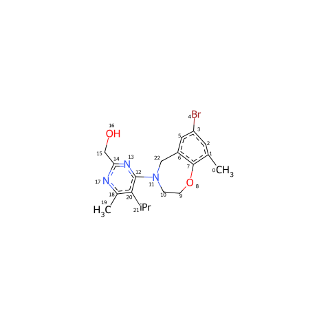 Cc1cc(Br)cc2c1OCCN(c1nc(CO)nc(C)c1C(C)C)C2